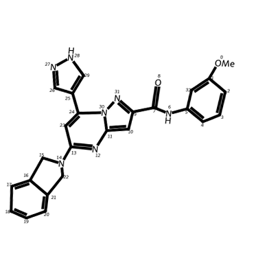 COc1cccc(NC(=O)c2cc3nc(N4Cc5ccccc5C4)cc(-c4cn[nH]c4)n3n2)c1